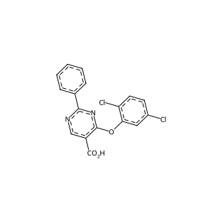 O=C(O)c1cnc(-c2ccccc2)nc1Oc1cc(Cl)ccc1Cl